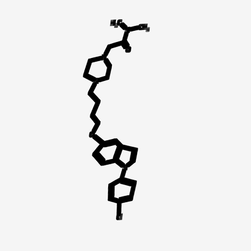 CN(C)C(=O)CN1CCN(CCCCOc2ccc3c(ccn3-c3ccc(Cl)cc3)c2)CC1